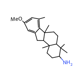 COc1cc(C)c2c(c1)CC1C2(C)CCC2C(C)(C)C(N)CCC12C